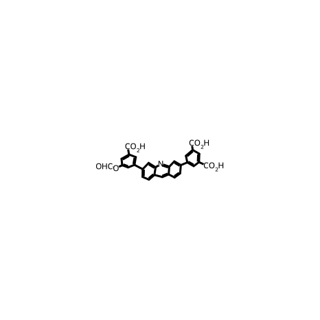 O=COc1cc(C(=O)O)cc(-c2ccc3cc4ccc(-c5cc(C(=O)O)cc(C(=O)O)c5)cc4nc3c2)c1